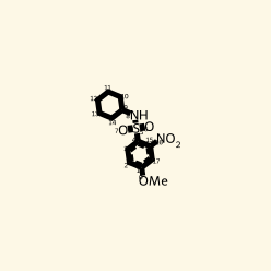 COc1ccc(S(=O)(=O)NC2CCCCC2)c([N+](=O)[O-])c1